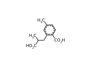 Cc1ccc(C(=O)O)c(CC(C)C(=O)O)c1